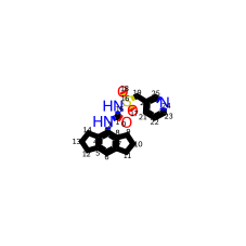 O=C(Nc1c2c(cc3c1CCC3)CCC2)NS(=O)(=O)Cc1cccnc1